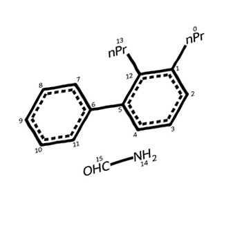 CCCc1cccc(-c2ccccc2)c1CCC.NC=O